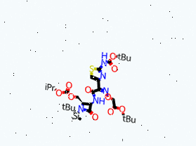 CC(C)OC(=O)OC[C@H]1[C@@H](NC(=O)/C(=N\OCC(=O)OC(C)(C)C)c2csc(NC(=O)OC(C)(C)C)n2)C(=O)N1[Si](C)(C)C(C)(C)C